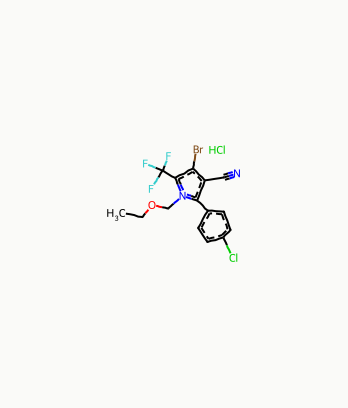 CCOCn1c(-c2ccc(Cl)cc2)c(C#N)c(Br)c1C(F)(F)F.Cl